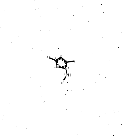 Cc1cc(I)nn1PI